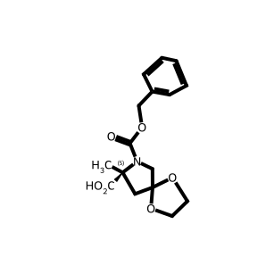 C[C@@]1(C(=O)O)CC2(CN1C(=O)OCc1ccccc1)OCCO2